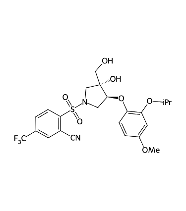 COc1ccc(O[C@H]2CN(S(=O)(=O)c3ccc(C(F)(F)F)cc3C#N)C[C@@]2(O)CO)c(OC(C)C)c1